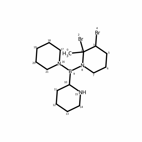 CC1(Br)C(Br)CCCN1B(C1CCCCN1)N1CCCCC1